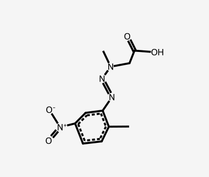 Cc1ccc([N+](=O)[O-])cc1/N=N/N(C)CC(=O)O